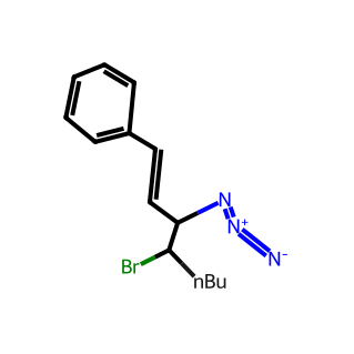 CCCCC(Br)C(C=Cc1ccccc1)N=[N+]=[N-]